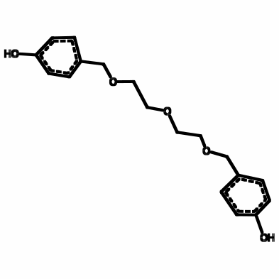 Oc1ccc(COCCOCCOCc2ccc(O)cc2)cc1